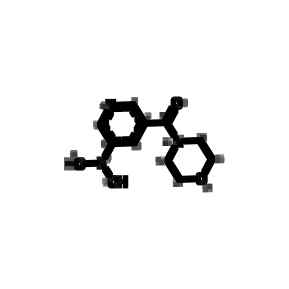 O=C(c1cncc(B(O)O)c1)N1CCOCC1